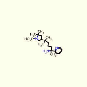 CC(N)(CCCC(C)(C)[C@H]1CN(C(=O)O)C(C)(C)C1)c1ccccn1